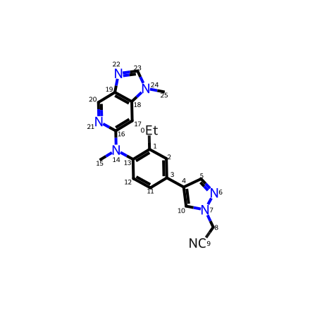 CCc1cc(-c2cnn(CC#N)c2)ccc1N(C)c1cc2c(cn1)ncn2C